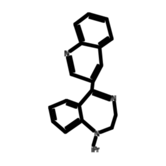 CC(C)N1CCN=C(c2cnc3ccccc3c2)c2ccccc21